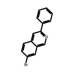 Brc1ccc2cc(-c3ccccc3)ncc2c1